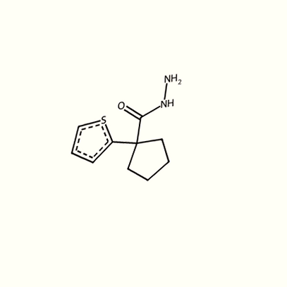 NNC(=O)C1(c2cccs2)CCCC1